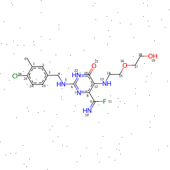 Cc1cc(CNc2nc(C(=N)F)c(NCCOCCO)c(=O)[nH]2)ccc1Cl